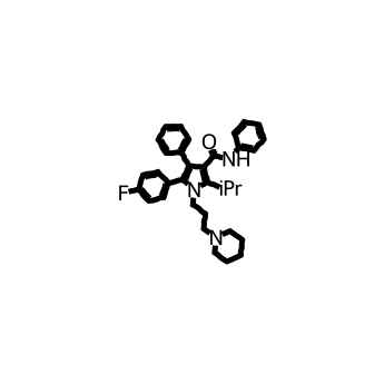 CC(C)c1c(C(=O)Nc2ccccc2)c(-c2ccccc2)c(-c2ccc(F)cc2)n1CCCN1CCCCC1